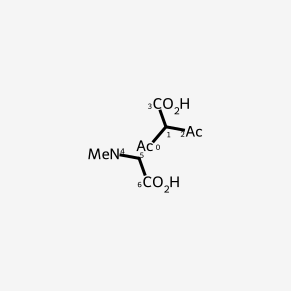 CC(=O)C(C(C)=O)C(=O)O.CNCC(=O)O